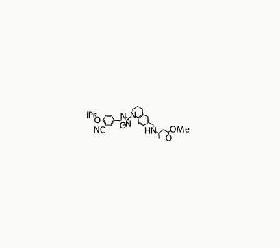 COC(=O)CC(C)NCc1ccc2c(c1)CCCN2c1noc(-c2ccc(OC(C)C)c(C#N)c2)n1